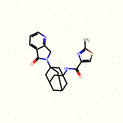 Cc1nc(C(=O)NC23CC4CC(C2)CC(N2Cc5ncccc5C2=O)(C4)C3)cs1